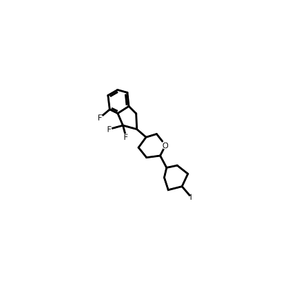 Fc1cccc2c1C(F)(F)C(C1CCC(C3CCC(I)CC3)OC1)C2